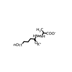 CCCCCCCCCCCC(=O)NNC(C)C(=O)[O-].[K+]